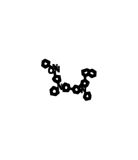 c1ccc(-c2nnc(-c3ccc(N(c4ccccc4)c4ccc(-c5ccc6c(c5)c5cc(-c7cccc8ccccc78)ccc5n6-c5ccccc5)cc4)cc3)o2)cc1